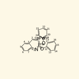 CCCCCC1=Cc2ccccc2N=P1(Oc1ccccc1)Oc1ccccc1